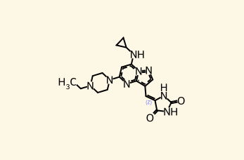 CCN1CCN(c2cc(NC3CC3)n3ncc(/C=C4\NC(=O)NC4=O)c3n2)CC1